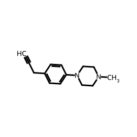 C#CCc1ccc(N2CCN(C)CC2)cc1